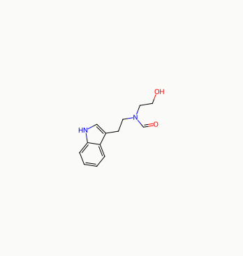 O=CN(CCO)CCc1c[nH]c2ccccc12